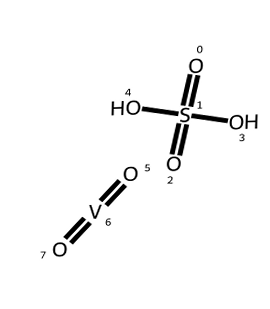 O=S(=O)(O)O.[O]=[V]=[O]